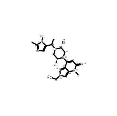 CC[C@H]1CN(C(C)c2cnc(C)n2CC)[C@H](CC)CN1c1cc(=O)n(C)c2cn(CC#N)nc12